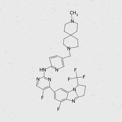 CN1CCC2(CC1)CCN(Cc1ccc(Nc3ncc(F)c(-c4cc(F)c5nc6n(c5c4)C(C(F)(F)F)CC6)n3)nc1)CC2